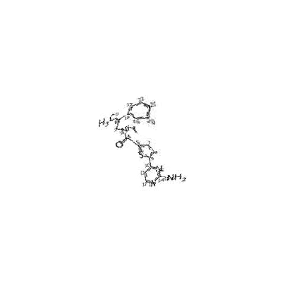 C[C@H](CNC(=O)c1ccc(-c2ccnc(N)n2)s1)c1ccccc1